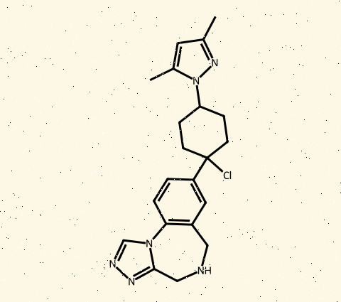 Cc1cc(C)n(C2CCC(Cl)(c3ccc4c(c3)CNCc3nncn3-4)CC2)n1